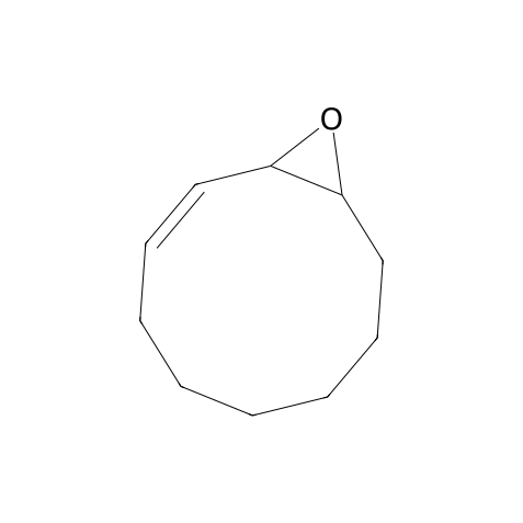 C1=C\C2OC2CCCCCC/1